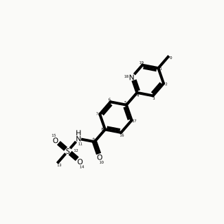 Cc1ccc(-c2ccc(C(=O)NS(C)(=O)=O)cc2)nc1